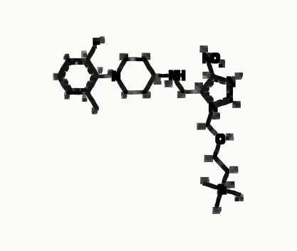 Cc1cccc(F)c1N1CCC(NCc2c([N+](=O)[O-])ncn2COCC[Si](C)(C)C)CC1